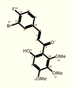 COc1cc(O)c(C(=O)/C=C/c2ccc(F)c(Br)c2)c(OC)c1OC